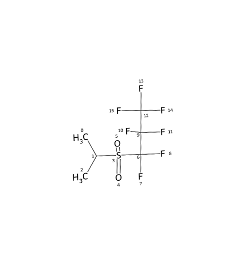 CC(C)S(=O)(=O)C(F)(F)C(F)(F)C(F)(F)F